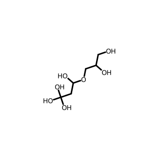 OCC(O)COC(O)CC(O)(O)O